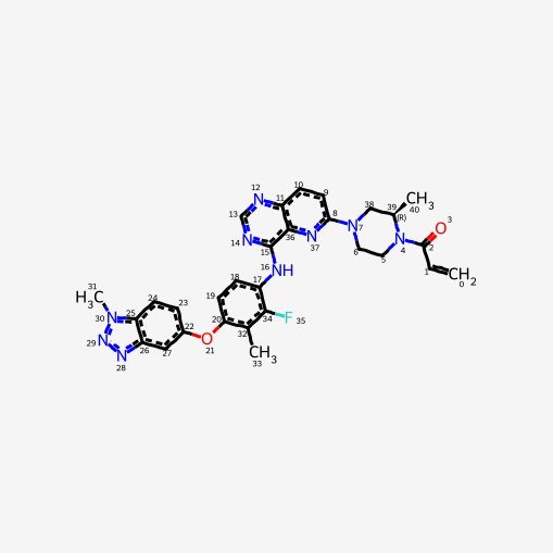 C=CC(=O)N1CCN(c2ccc3ncnc(Nc4ccc(Oc5ccc6c(c5)nnn6C)c(C)c4F)c3n2)C[C@H]1C